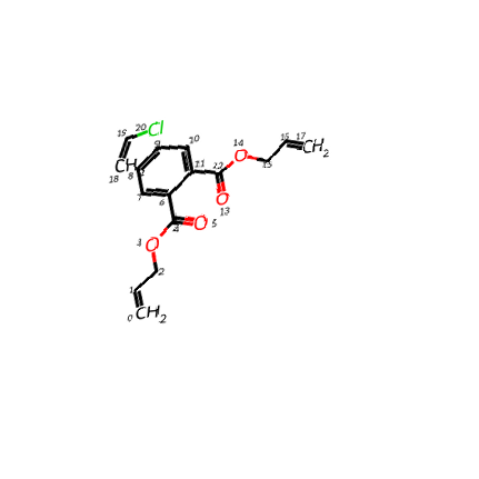 C=CCOC(=O)c1ccccc1C(=O)OCC=C.C=CCl